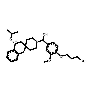 COc1cc(C(O)N2CCC3(CC2)C[C@@H](OC(C)C)c2ccccc2O3)ccc1OCCCO